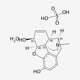 CN1CC[C@]23c4c5ccc(O)c4O[C@H]2[C@@H](O)C=C[C@H]3[C@H]1C5.O.O=S(=O)(O)O